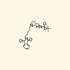 CC(C)(C)OC(=O)NCC1CCN(CCCCCN2C(=O)c3ccccc3C2=O)C1